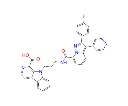 O=C(O)c1nccc2c3ccccc3n(CCCNC(=O)c3cccc4c(-c5ccncc5)c(-c5ccc(F)cc5)nn34)c12